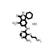 Cc1cc(Nc2ncnc(N)c2OCCN)cc2c1C(=O)NC21CCCCC1.Cl